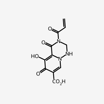 C=CC(=O)N1CNn2cc(C(=O)O)c(=O)c(O)c2C1=O